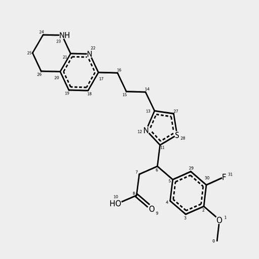 COc1ccc(C(CC(=O)O)c2nc(CCCc3ccc4c(n3)NCCC4)cs2)cc1F